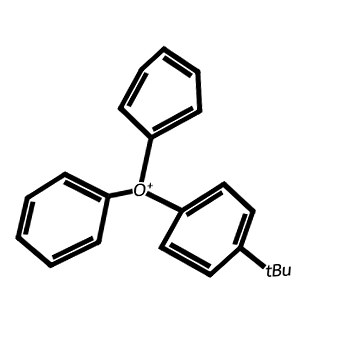 CC(C)(C)c1ccc([O+](c2ccccc2)c2ccccc2)cc1